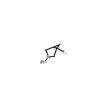 CC(C)N1CC2CC2(F)C1